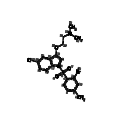 Cc1ccc(S(=O)(=O)n2cc(OCCN(C)C)c3cc(Cl)ccc32)c(Br)c1